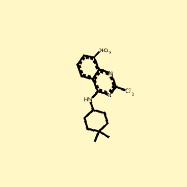 CC1(C)CCC(Nc2nc(C(F)(F)F)nc3c([N+](=O)[O-])cccc23)CC1